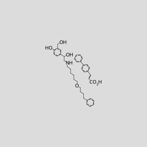 O=C(O)C=Cc1ccc(-c2ccccc2)cc1.OCc1cc(C(O)CNCCCCCCOCCCCc2ccccc2)ccc1O